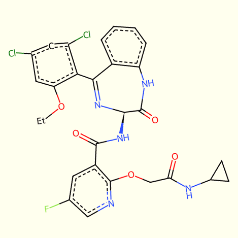 CCOc1cc(Cl)cc(Cl)c1C1=N[C@H](NC(=O)c2cc(F)cnc2OCC(=O)NC2CC2)C(=O)Nc2ccccc21